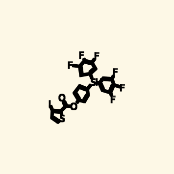 O=C(Oc1ccc([SH](c2cc(F)c(F)c(F)c2)c2cc(F)c(F)c(F)c2)cc1)c1sccc1I